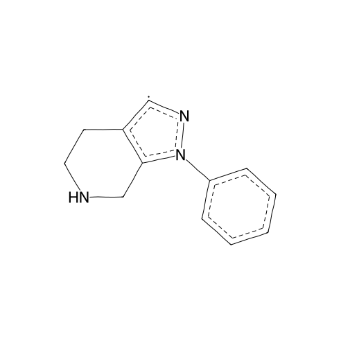 [c]1nn(-c2ccccc2)c2c1CCNC2